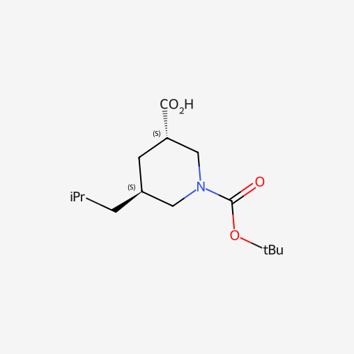 CC(C)C[C@H]1C[C@H](C(=O)O)CN(C(=O)OC(C)(C)C)C1